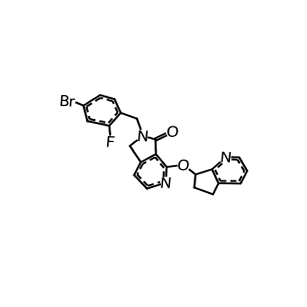 O=C1c2c(ccnc2OC2CCc3cccnc32)CN1Cc1ccc(Br)cc1F